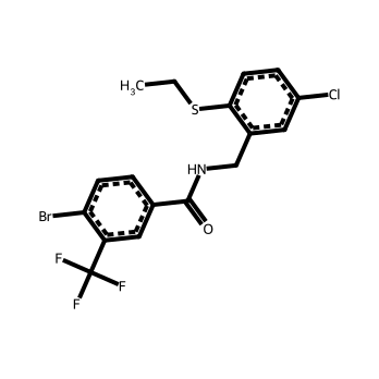 CCSc1ccc(Cl)cc1CNC(=O)c1ccc(Br)c(C(F)(F)F)c1